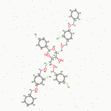 O[C@@H]([C@H](O)[C@@H](COCc1ccc(OCc2ccccc2)cc1F)OCc1ccc(F)cc1)[C@@H](COCc1ccc(OCc2ccccc2)cc1F)OCc1ccc(F)cc1